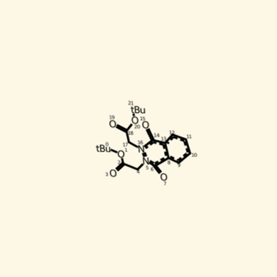 CC(C)(C)OC(=O)Cn1c(=O)c2ccccc2c(=O)n1CC(=O)OC(C)(C)C